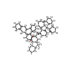 CC1(C)c2ccccc2-c2ccc(N(c3ccc4c(c3)C(c3ccccc3)(c3ccccc3)c3ccccc3-4)c3cccc(-c4ccc5ccccc5c4)c3-c3ccccc3)cc21